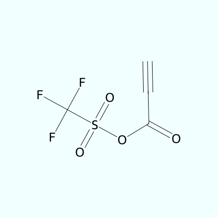 C#CC(=O)OS(=O)(=O)C(F)(F)F